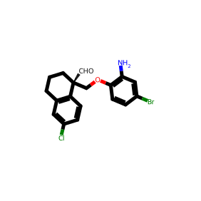 Nc1cc(Br)ccc1OC[C@@]1(C=O)CCCc2cc(Cl)ccc21